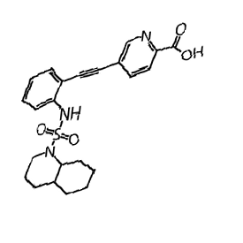 O=C(O)c1ccc(C#Cc2ccccc2NS(=O)(=O)N2CCCC3CCCCC32)cn1